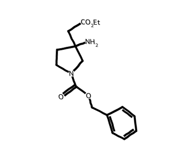 CCOC(=O)CC1(N)CCN(C(=O)OCc2ccccc2)C1